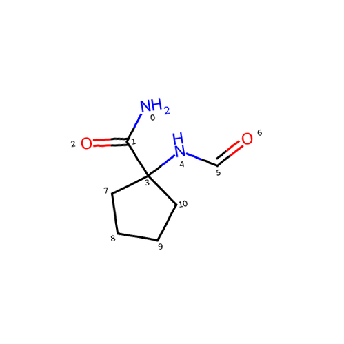 NC(=O)C1(NC=O)CCCC1